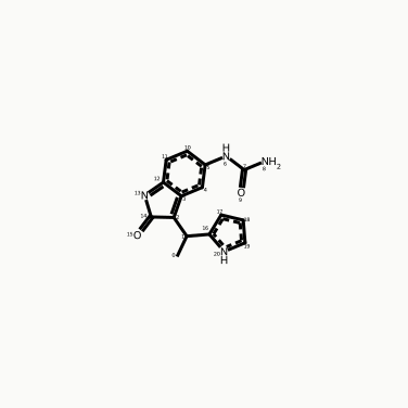 CC(C1=c2cc(NC(N)=O)ccc2=NC1=O)c1ccc[nH]1